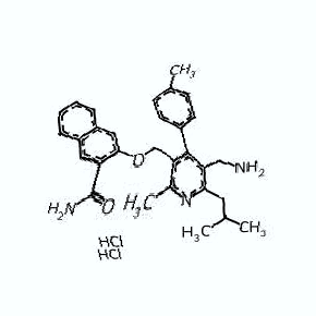 Cc1ccc(-c2c(COc3cc4ccccc4cc3C(N)=O)c(C)nc(CC(C)C)c2CN)cc1.Cl.Cl